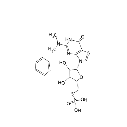 CN(C)c1nc2c(ncn2[C@@H]2O[C@H](CSP(=O)(O)O)C(O)C2O)c(=O)[nH]1.c1ccccc1